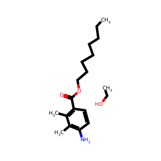 CCCCCCCCOC(=O)c1ccc(N)c(C)c1C.CCO